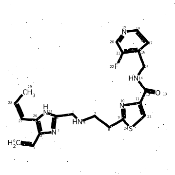 C=Cc1nc(CNCCc2nc(C(=O)NCc3ccncc3F)cs2)[nH]c1/C=C\C